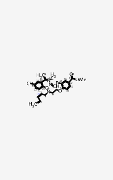 C=C/C=C\CN(CCOc1ccc(C(=O)OC)cc1F)Oc1ccc(Cl)cc1C(=C)N(C)N=C